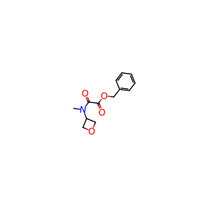 CN(C(=O)C(=O)OCc1ccccc1)C1COC1